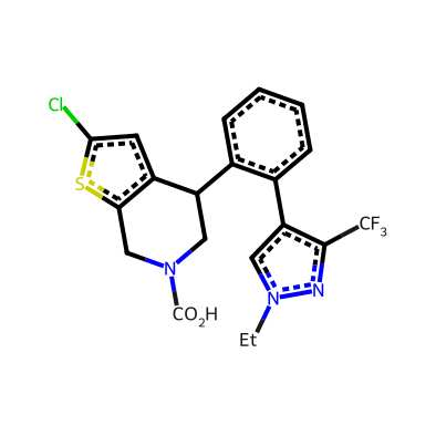 CCn1cc(-c2ccccc2C2CN(C(=O)O)Cc3sc(Cl)cc32)c(C(F)(F)F)n1